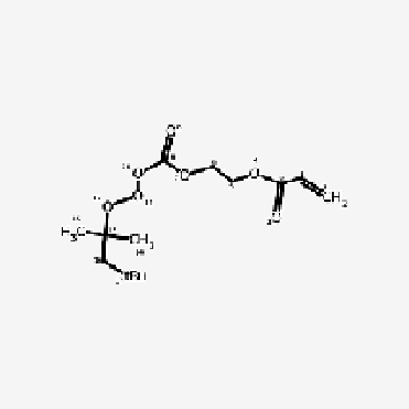 C=CC(=O)OCCOC(=O)OOOC(C)(C)CC(C)(C)C